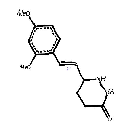 COc1ccc(/C=C/C2CCC(=O)NN2)c(OC)c1